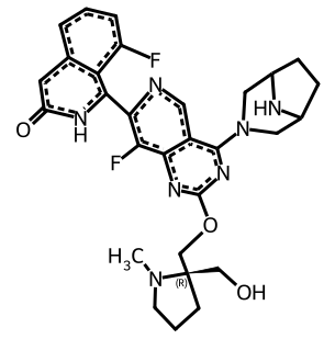 CN1CCC[C@@]1(CO)COc1nc(N2CC3CCC(C2)N3)c2cnc(-c3[nH]c(=O)cc4cccc(F)c34)c(F)c2n1